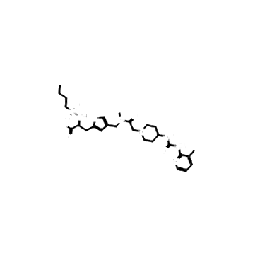 CCCCS(=O)(=O)NC(Cc1cc(CN(C)C(=O)CN2CCC(NC(=O)Nc3ncccc3C)CC2)co1)C(=O)O